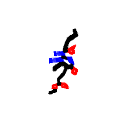 CC=CC(=O)Nc1nc(=O)c(CCC(=O)OCC)c(C)[nH]1